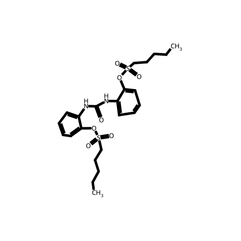 CCCCCS(=O)(=O)Oc1ccccc1NC(=O)Nc1ccccc1OS(=O)(=O)CCCCC